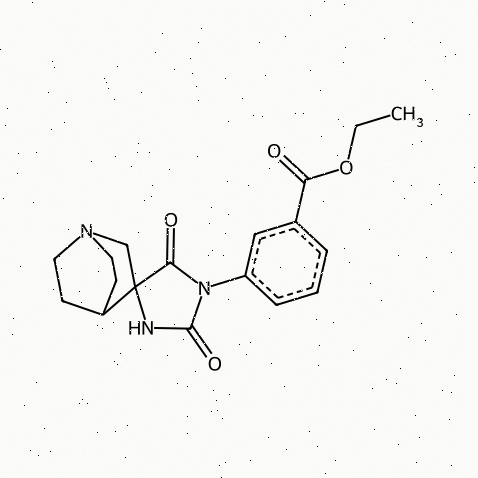 CCOC(=O)c1cccc(N2C(=O)NC3(CN4CCC3CC4)C2=O)c1